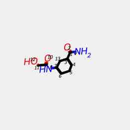 NC(=O)C1CCCC(NC(=O)CO)C1